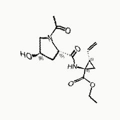 C=C[C@@H]1C[C@]1(NC(=O)[C@@H]1C[C@@H](O)CN1C(C)=O)C(=O)OCC